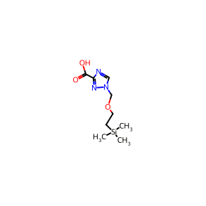 C[Si](C)(C)CCOCn1cnc(C(=O)O)n1